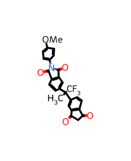 COc1ccc(N2C(=O)c3ccc(C(C)(c4ccc5c(c4)C(=O)CC5=O)C(F)(F)F)cc3C2=O)cc1